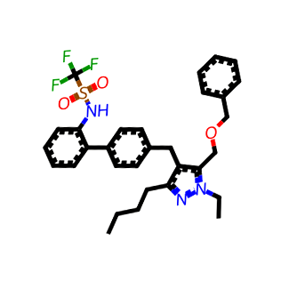 CCCCc1nn(CC)c(COCc2ccccc2)c1Cc1ccc(-c2ccccc2NS(=O)(=O)C(F)(F)F)cc1